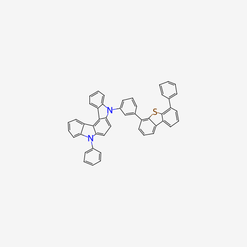 c1ccc(-c2cccc3c2sc2c(-c4cccc(-n5c6ccccc6c6c7c8ccccc8n(-c8ccccc8)c7ccc65)c4)cccc23)cc1